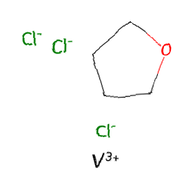 C1CCOC1.[Cl-].[Cl-].[Cl-].[V+3]